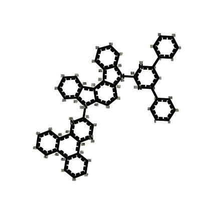 c1ccc(-c2cc(-c3ccccc3)nc(-n3c4ccccc4c4c5c6ccccc6n(-c6cnc7c8ccccc8c8ccccc8c7n6)c5ccc43)n2)cc1